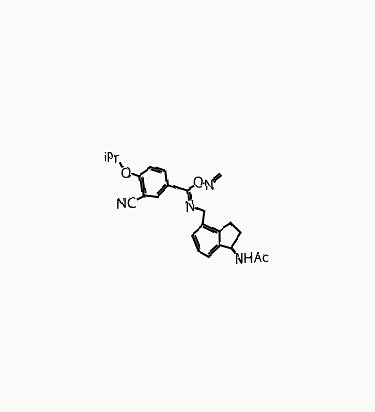 C=NO/C(=N\Cc1cccc2c1CCC2NC(C)=O)c1ccc(OC(C)C)c(C#N)c1